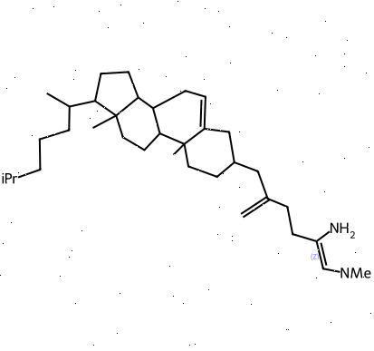 C=C(CC/C(N)=C/NC)CC1CCC2(C)C(=CCC3C2CCC2(C)C(C(C)CCCC(C)C)CCC32)C1